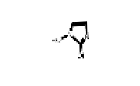 Oc1nccn1O